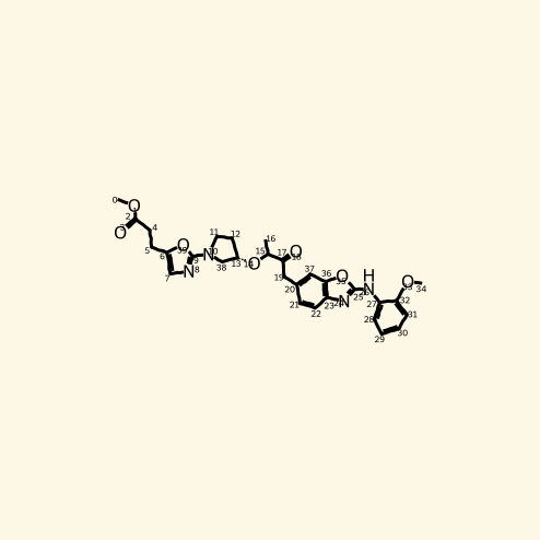 COC(=O)CCc1cnc(N2CC[C@H](OC(C)C(=O)Cc3ccc4nc(Nc5ccccc5OC)oc4c3)C2)o1